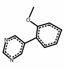 COc1ccccc1-c1cncnc1